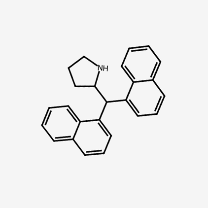 c1ccc2c(C(c3cccc4ccccc34)C3CCCN3)cccc2c1